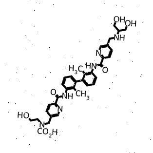 Cc1c(NC(=O)c2ccc(CNC(CO)CO)cn2)cccc1-c1cccc(NC(=O)c2ccc(CN(CCO)C(=O)O)cn2)c1C